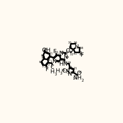 CCc1c(F)ccc2cc(O)cc(-c3ncc4c(NCc5cc(C(N)=O)nn5C)nc(OC[C@@]56CCCN5C[C@H](F)C6)nc4c3F)c12